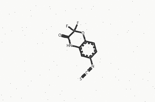 O=C1Nc2cc(N=C=S)ccc2OC1(F)F